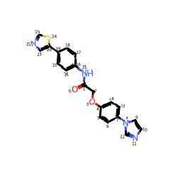 O=C(COc1ccc(-n2ccnc2)cc1)Nc1ccc(-c2cncs2)cc1